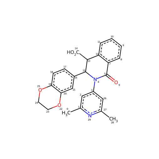 Cc1cc(N2C(=O)c3ccccc3C(C(=O)O)C2c2ccc3c(c2)OCCO3)cc(C)n1